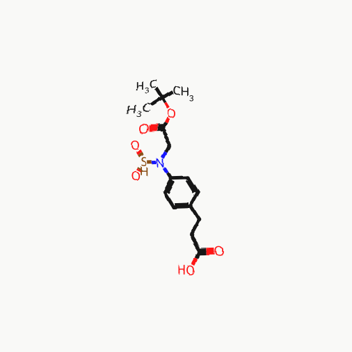 CC(C)(C)OC(=O)CN(c1ccc(CCC(=O)O)cc1)[SH](=O)=O